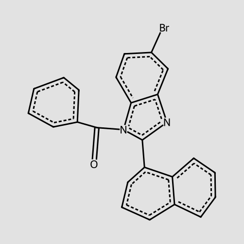 O=C(c1ccccc1)n1c(-c2cccc3ccccc23)nc2cc(Br)ccc21